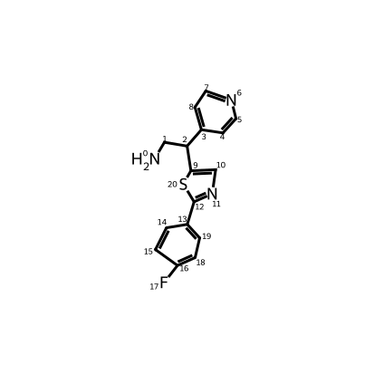 NCC(c1ccncc1)c1cnc(-c2ccc(F)cc2)s1